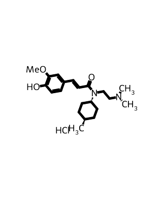 COc1cc(C=CC(=O)N(CCN(C)C)[C@H]2CC[C@H](C)CC2)ccc1O.Cl